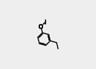 CCc1cccc(OI)c1